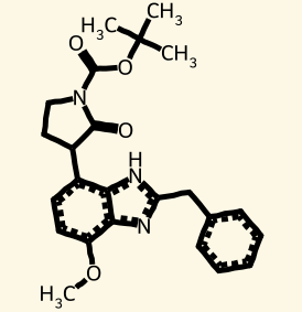 COc1ccc(C2CCN(C(=O)OC(C)(C)C)C2=O)c2[nH]c(Cc3ccccc3)nc12